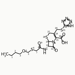 CCCCOCSCC(=O)N[C@H]1C(=O)N2C(C(=O)O)=C(CSc3nnn[nH]3)CSC12